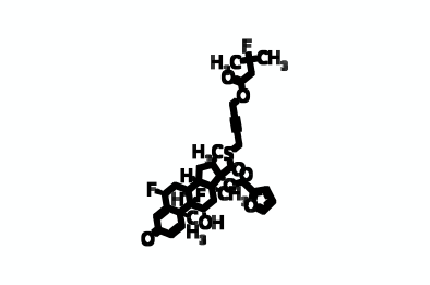 C[C@@H]1C[C@H]2[C@@H]3C[C@H](F)C4=CC(=O)C=C[C@]4(C)[C@@]3(F)[C@@H](O)C[C@]2(C)[C@@]1(OC(=O)c1ccco1)C(=O)SCC#CCOC(=O)CC(C)(C)F